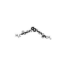 CC=CC(=O)OCCOCCSc1ccc2c(SCCOCCOC(=O)C=CC)cccc2c1